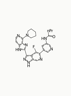 CCCC(=O)Nc1cncc(-c2ncc3[nH]nc(-c4nc5c(N6CCCCC6)nccc5[nH]4)c3c2F)c1